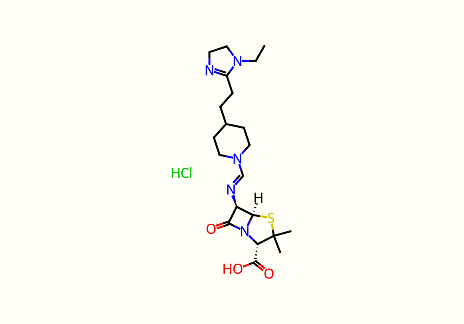 CCN1CCN=C1CCC1CCN(C=N[C@@H]2C(=O)N3[C@@H]2SC(C)(C)[C@@H]3C(=O)O)CC1.Cl